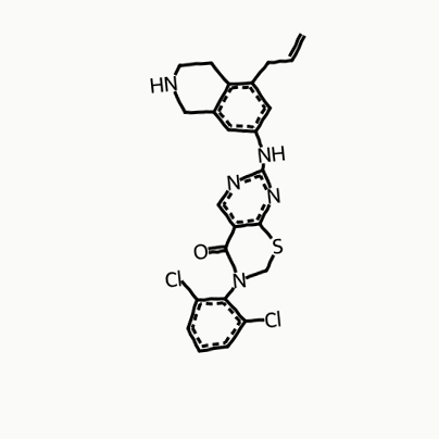 C=CCc1cc(Nc2ncc3c(n2)SCN(c2c(Cl)cccc2Cl)C3=O)cc2c1CCNC2